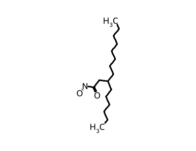 CCCCCCCCC(CCCCCC)CC(=O)N=O